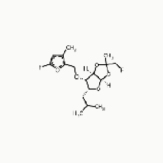 Cc1cc(F)oc1CO[C@@H]1[C@H]2OC(C)(CF)O[C@H]2O[C@@H]1CC(C)C